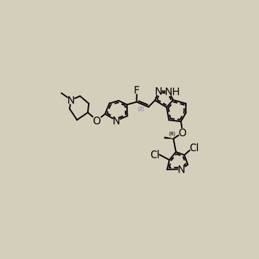 C[C@@H](Oc1ccc2[nH]nc(/C=C(\F)c3ccc(OC4CCN(C)CC4)nc3)c2c1)c1c(Cl)cncc1Cl